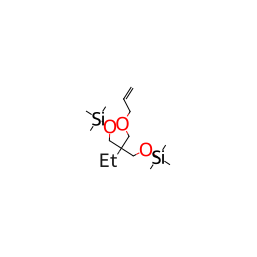 C=CCOCC(CC)(CO[Si](C)(C)C)CO[Si](C)(C)C